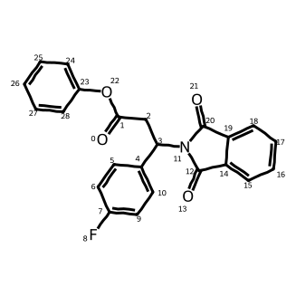 O=C(CC(c1ccc(F)cc1)N1C(=O)c2ccccc2C1=O)Oc1ccccc1